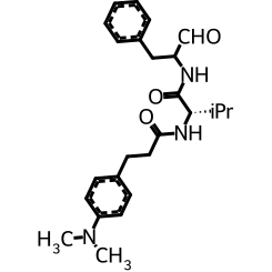 CC(C)[C@H](NC(=O)CCc1ccc(N(C)C)cc1)C(=O)NC(C=O)Cc1ccccc1